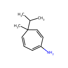 CC(C)C1(C)C=CC=C(N)C=C1